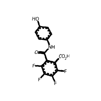 O=C(O)c1c(F)c(F)c(F)c(F)c1C(=O)Nc1ccc(O)cc1